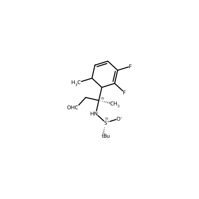 CC1C=CC(F)=C(F)C1[C@](C)(CC=O)N[S@+]([O-])C(C)(C)C